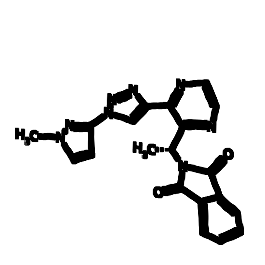 C[C@H](c1nccnc1-c1cn(-c2ccn(C)n2)nn1)N1C(=O)c2ccccc2C1=O